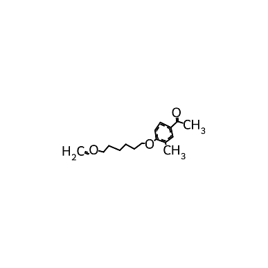 C=COCCCCCCOc1ccc(C(C)=O)cc1C